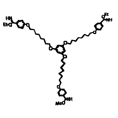 CCOC(=N)c1ccc(OCCCCCCCCOc2cc(OCCCCCCCCOc3ccc(C(=N)OC)cc3)cc(OCCCCCCCCOc3ccc(C(=N)OCC)cc3)c2)cc1